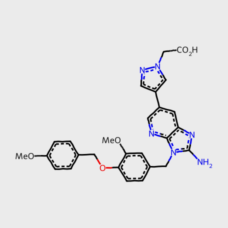 COc1ccc(COc2ccc(Cn3c(N)nc4cc(-c5cnn(CC(=O)O)c5)cnc43)cc2OC)cc1